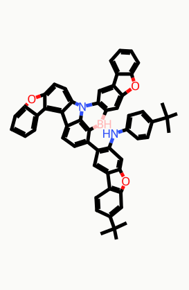 CC(C)(C)c1ccc(Nc2cc3oc4cc(C(C)(C)C)ccc4c3cc2-c2ccc3c4c5c(ccc4n4c3c2Bc2cc3oc6ccccc6c3cc2-4)oc2ccccc25)cc1